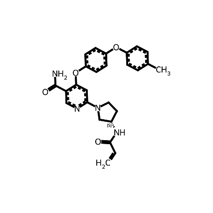 C=CC(=O)N[C@H]1CCN(c2cc(Oc3ccc(Oc4ccc(C)cc4)cc3)c(C(N)=O)cn2)C1